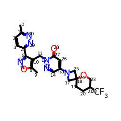 Cc1ccc(-c2noc(C)c2Cn2ncc(N3CC4(CCC(C(F)(F)F)CO4)C3)cc2=O)nn1